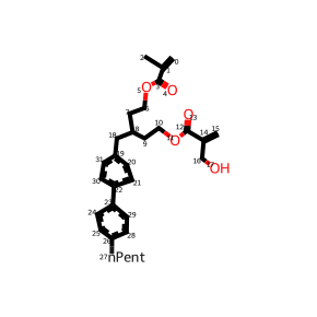 C=C(C)C(=O)OCCC(CCOC(=O)C(=C)CO)Cc1ccc(-c2ccc(CCCCC)cc2)cc1